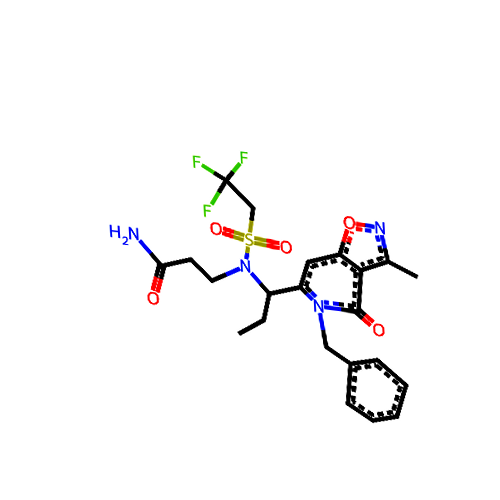 CCC(c1cc2onc(C)c2c(=O)n1Cc1ccccc1)N(CCC(N)=O)S(=O)(=O)CC(F)(F)F